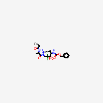 CC(C)CC(=O)NC(C)C(=O)NCC(F)(F)C(O)C(CC(C)C)NC(=O)OCc1ccccc1